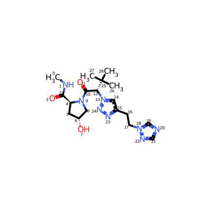 CNC(=O)[C@@H]1C[C@@H](O)CN1C(=O)[C@@H](n1cc(CCn2cncn2)nn1)C(C)(C)C